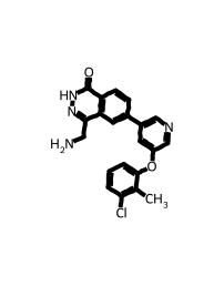 Cc1c(Cl)cccc1Oc1cncc(-c2ccc3c(=O)[nH]nc(CN)c3c2)c1